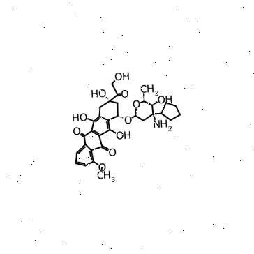 COc1cccc2c1C(=O)c1c(O)c3c(c(O)c1C2=O)C[C@@](O)(C(=O)CO)C[C@@H]3OC1C[C@@](N)(C2CCCC2)[C@H](O)[C@H](C)O1